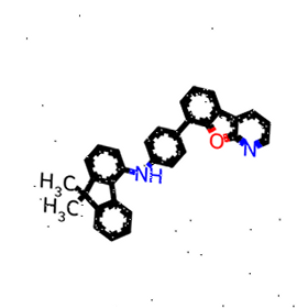 CC1(C)c2ccccc2-c2c(Nc3ccc(-c4cccc5c4oc4ncccc45)cc3)cccc21